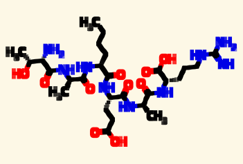 CCCC[C@H](NC(=O)[C@@H](C)NC(=O)[C@@H](N)[C@@H](C)O)C(=O)N[C@@H](CCC(=O)O)C(=O)N[C@H](C)C(=O)N[C@@H](CCCNC(=N)N)C(=O)O